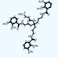 CC(=O)Oc1cccc(C(=O)NCCCC(CCCNC(=O)c2cccc(OC(C)=O)c2OC(C)=O)(CCCNC(=O)c2cccc(OC(C)=O)c2OC(C)=O)NC(=O)CCC(=O)O)c1OC(C)=O